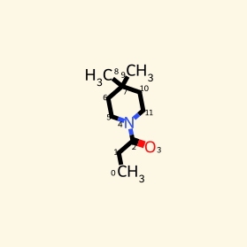 CCC(=O)N1CCC(C)(C)CC1